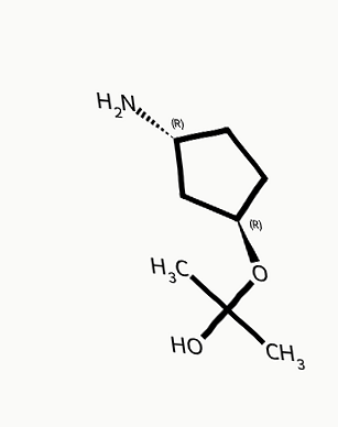 CC(C)(O)O[C@@H]1CC[C@@H](N)C1